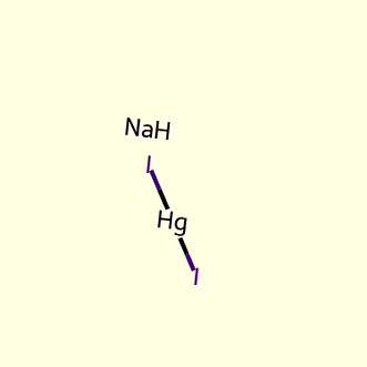 [I][Hg][I].[NaH]